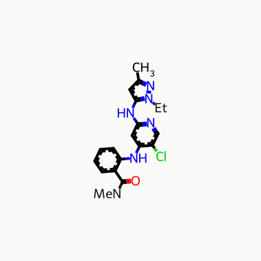 CCn1nc(C)cc1Nc1cc(Nc2ccccc2C(=O)NC)c(Cl)cn1